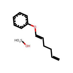 C=CCCC=COc1ccccc1.O=S(=O)(O)O